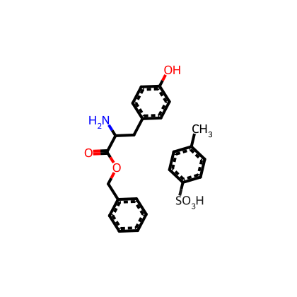 Cc1ccc(S(=O)(=O)O)cc1.NC(Cc1ccc(O)cc1)C(=O)OCc1ccccc1